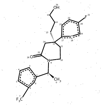 C[C@@H](c1cccc(C(F)(F)F)c1)N1CC[C@](CCCO)(c2ccc(F)cc2)CC1=O